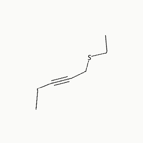 CCC#CCSCC